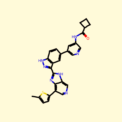 Cc1ccc(-c2cncc3[nH]c(-c4n[nH]c5ccc(-c6cncc(NC(=O)C7CCC7)c6)cc45)nc23)s1